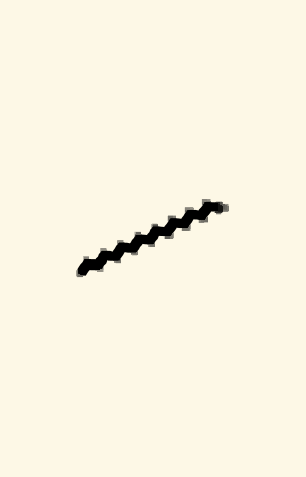 CC=CCCCCCCCCCCCCC[S]